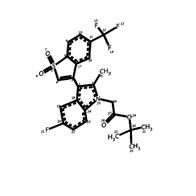 Cc1c(C2=CS(=O)(=O)c3ccc(C(F)(F)F)cc32)c2cc(F)ccc2n1CC(=O)OC(C)(C)C